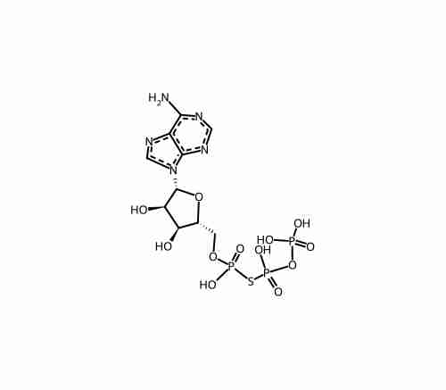 Nc1ncnc2c1ncn2[C@@H]1O[C@H](COP(=O)(O)SP(=O)(O)OP(=O)(O)O)[C@@H](O)[C@H]1O